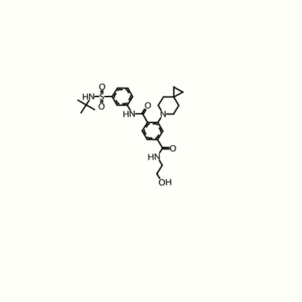 CC(C)(C)NS(=O)(=O)c1cccc(NC(=O)c2ccc(C(=O)NCCO)cc2N2CCC3(CC2)CC3)c1